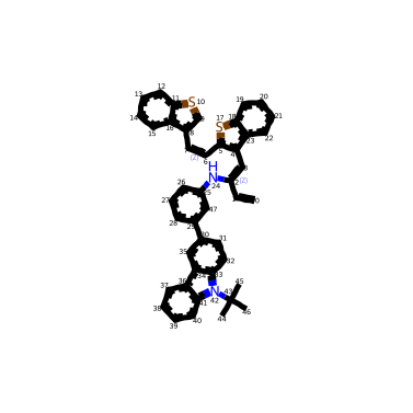 C=C/C(=C/c1c(/C=C\c2csc3ccccc23)sc2ccccc12)Nc1cccc(-c2ccc3c(c2)c2ccccc2n3C(C)(C)C)c1